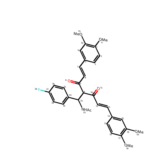 COc1ccc(/C=C/C(=O)C(C(=O)/C=C/c2ccc(OC)c(OC)c2)C(NC(C)=O)c2ccc(F)cc2)cc1OC